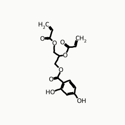 C=CC(=O)OCC(COC(=O)c1ccc(O)cc1O)OC(=O)C=C